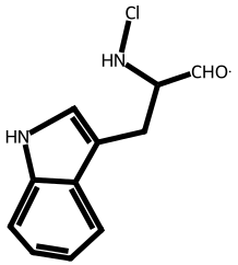 O=[C]C(Cc1c[nH]c2ccccc12)NCl